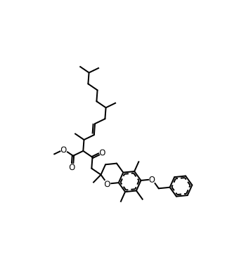 COC(=O)C(C(=O)CC1(C)CCc2c(C)c(OCc3ccccc3)c(C)c(C)c2O1)C(C)C=CCC(C)CCCC(C)C